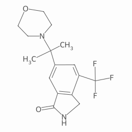 CC(C)(c1cc2c(c(C(F)(F)F)c1)CNC2=O)N1CCOCC1